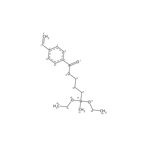 C=Cc1ccc(C(=O)OCCC[Si](C)(OCC)OCC)cc1